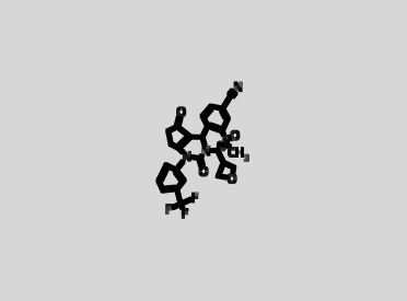 CS(=O)(=O)c1cc(C#N)ccc1C1C2=C(CCC2=O)N(c2cccc(C(F)(F)F)c2)C(=O)N1CC1COC1